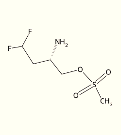 CS(=O)(=O)OC[C@@H](N)CC(F)F